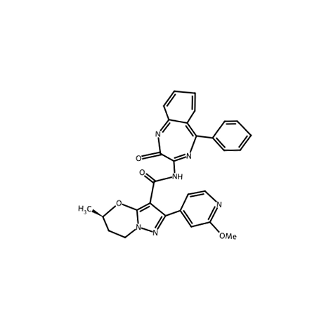 COc1cc(-c2nn3c(c2C(=O)Nc2nc(-c4ccccc4)c4ccccc4nc2=O)O[C@H](C)CC3)ccn1